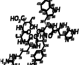 CC(O)[C@H](NC(=O)[C@H](C)NC(=O)[C@H](CCCNC(=N)N)NC(=O)[C@H](Cc1ccc(O)cc1)NC(=O)[C@H](Cc1c[nH]c2ccccc12)NC(=O)[C@@H](N)Cc1c[nH]cn1)C(=O)O